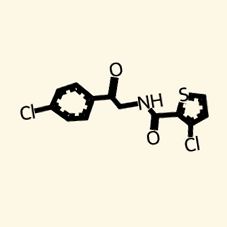 O=C(CNC(=O)c1sccc1Cl)c1ccc(Cl)cc1